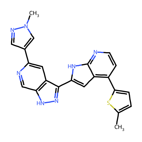 Cc1ccc(-c2ccnc3[nH]c(-c4n[nH]c5cnc(-c6cnn(C)c6)cc45)cc23)s1